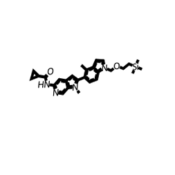 Cc1c(-c2cc3cc(NC(=O)C4CC4)ncc3n2C)ccc2c1ccn2COCC[Si](C)(C)C